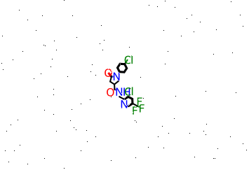 O=C(NCc1ncc(C(F)(F)F)cc1Cl)C1CC(=O)N(c2ccc(Cl)cc2)C1